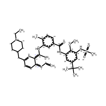 C=C/N=C1/C=CC(CC2CCN(CC)CC2)=N/C1=C(/N)Nc1cc(C(=O)Nc2cc(C(C)(C)C)cc(NS(C)(=O)=O)c2OC)ccc1C